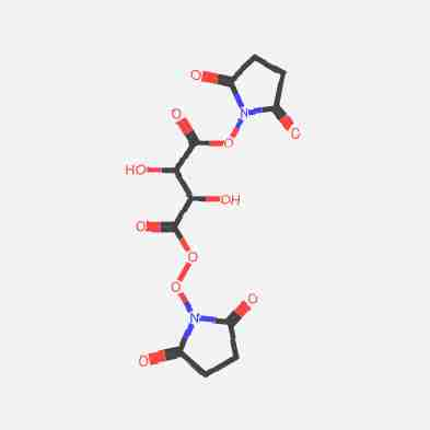 O=C(OON1C(=O)CCC1=O)C(O)C(O)C(=O)ON1C(=O)CCC1=O